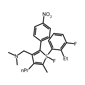 CCCC1=C(C)S(F)(c2cccc(F)c2CC)C(c2ccc([N+](=O)[O-])cc2)=C1CN(C)C